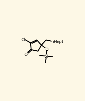 CCCCCCCCC1(O[Si](C)(C)C)C=C(Cl)C(=O)C1